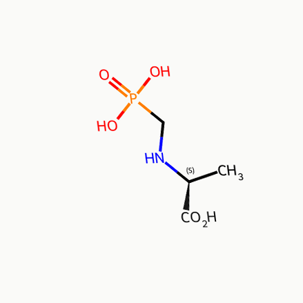 C[C@H](NCP(=O)(O)O)C(=O)O